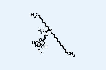 CCCCCCCCCCCCSC(CCCCCCCC)C(C)OCCCOC(O)([PH2]=O)C(=O)O